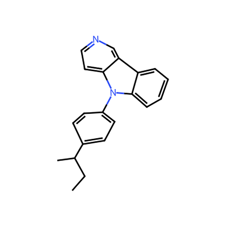 CCC(C)c1ccc(-n2c3ccccc3c3cnccc32)cc1